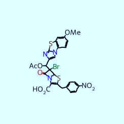 COc1ccc2c(c1)sc1nc(C(OC(C)=O)C3(Br)C(=O)N4C(C(=O)O)=C(Cc5ccc([N+](=O)[O-])cc5)SC43)cn12